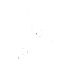 COc1ccccc1-c1ccc(C(=O)NCC2CCN(C(C)C)CC2)c(N2CCCC(Nc3ccc(C(=O)C(F)(F)F)c(N)n3)C2)n1